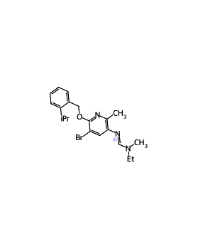 CCN(C)/C=N/c1cc(Br)c(OCc2ccccc2C(C)C)nc1C